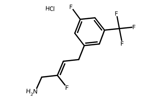 Cl.NC/C(F)=C/Cc1cc(F)cc(C(F)(F)F)c1